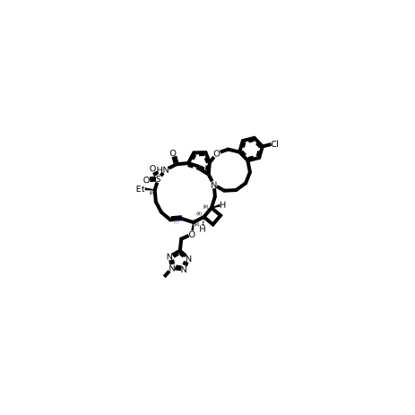 CC[C@@H]1CC/C=C/[C@H](OCc2nnn(C)n2)[C@@H]2CC[C@H]2CN2CCCCc3cc(Cl)ccc3COc3ccc(cc32)C(=O)NS1(=O)=O